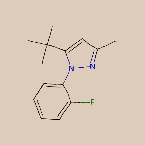 Cc1cc(C(C)(C)C)n(-c2ccccc2F)n1